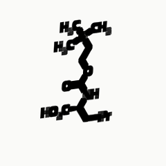 CC(C)C[C@H](NC(=O)OCC[Si](C)(C)C)C(=O)O